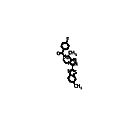 Cc1ccc2nc(-c3nnc4n3CCN(C(=O)c3ccc(F)cc3)[C@@H]4C)sc2c1